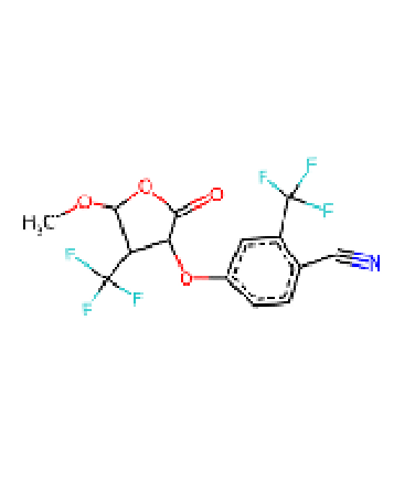 COC1OC(=O)C(Oc2ccc(C#N)c(C(F)(F)F)c2)C1C(F)(F)F